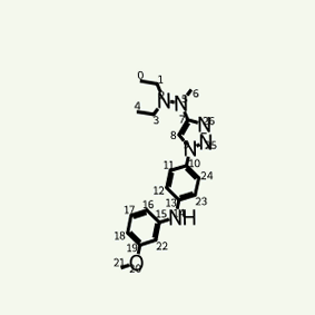 CCN(CC)N(C)c1cn(-c2ccc(Nc3cccc(OC)c3)cc2)nn1